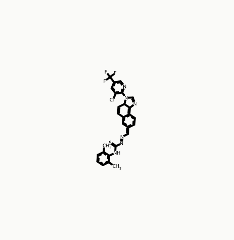 Cc1cccc(C)c1NC(=S)N=NC=c1ccc2c(c1)C=CC1C=2N=CN1c1ncc(C(F)(F)F)cc1Cl